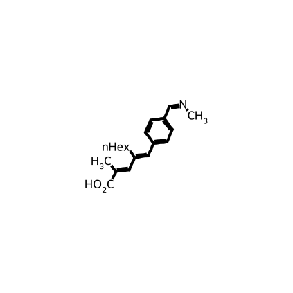 CCCCCCC(=C\c1ccc(/C=N\C)cc1)/C=C(\C)C(=O)O